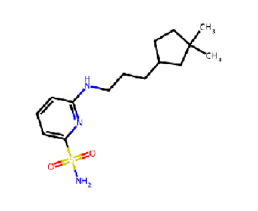 CC1(C)CCC(CCCNc2cccc(S(N)(=O)=O)n2)C1